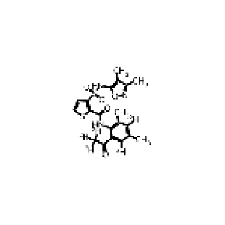 [2H]c1c(C)c([2H])c(C(=O)C([2H])([2H])[2H])c(NC(=O)c2sccc2S(=O)(=O)Nc2onc(C)c2C)c1C